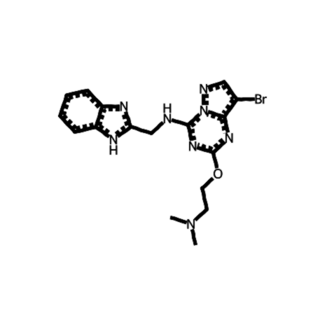 CN(C)CCOc1nc(NCc2nc3ccccc3[nH]2)n2ncc(Br)c2n1